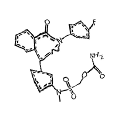 CN(c1cccc(-c2nn(-c3ccc(F)cc3)c(=O)c3ccccc23)c1)S(=O)(=O)COC(N)=O